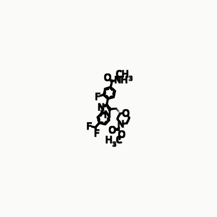 CNC(=O)c1ccc(-c2nc3cc(C(F)F)ccn3c2C[C@H]2CN(C(=O)OC)CCO2)c(F)c1